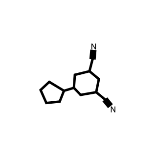 N#CC1CC(C#N)CC(C2CCCC2)C1